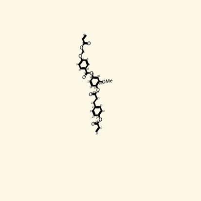 C=CC(=O)OCOc1ccc(C(=O)Oc2ccc(OC(=O)CCc3ccc(OC(=O)C=C)cc3)c(OC)c2)cc1